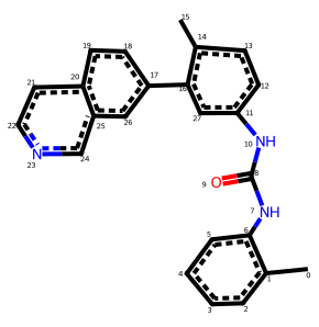 Cc1ccccc1NC(=O)Nc1ccc(C)c(-c2ccc3ccncc3c2)c1